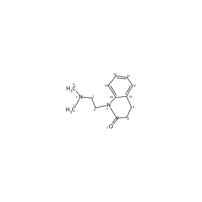 CN(C)CCN1C(=O)CCc2ccccc21